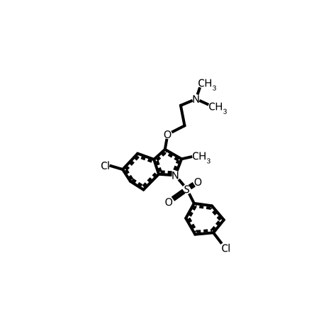 Cc1c(OCCN(C)C)c2cc(Cl)ccc2n1S(=O)(=O)c1ccc(Cl)cc1